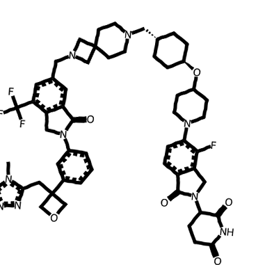 Cn1cnnc1CC1(c2cccc(N3Cc4c(cc(CN5CC6(CCN(C[C@H]7CC[C@H](OC8CCN(c9ccc%10c(c9F)CN(C9CCC(=O)NC9=O)C%10=O)CC8)CC7)CC6)C5)cc4C(F)(F)F)C3=O)c2)COC1